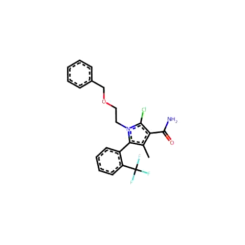 Cc1c(C(N)=O)c(Cl)n(CCOCc2ccccc2)c1-c1ccccc1C(F)(F)F